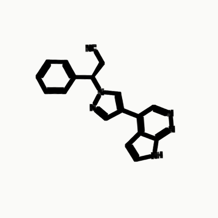 N#CC[C@H](c1ccccc1)n1cc(-c2cnnc3[nH]ccc23)cn1